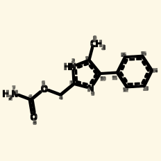 Cc1[nH]c(COC(N)=O)nc1-c1ccccc1